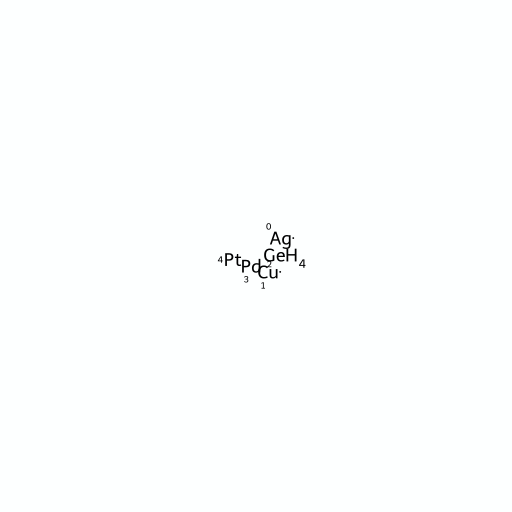 [Ag].[Cu].[GeH4].[Pd].[Pt]